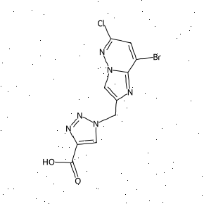 O=C(O)c1cn(Cc2cn3nc(Cl)cc(Br)c3n2)nn1